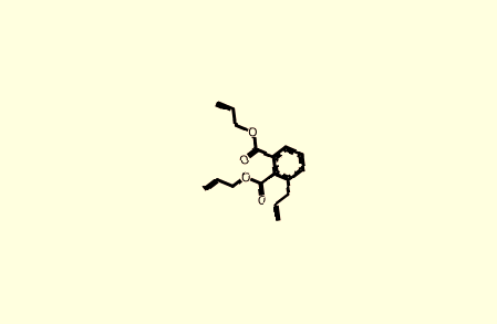 C=CCOC(=O)c1cccc(CC=C)c1C(=O)OCC=C